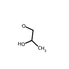 C[C](O)C[O]